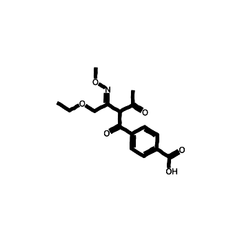 CCOC/C(=N\OC)C(C(C)=O)C(=O)c1ccc(C(=O)O)cc1